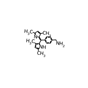 CC1=CC(C)=N/C1=C(/c1ccc(CN)cc1)c1[nH]c(C)cc1C